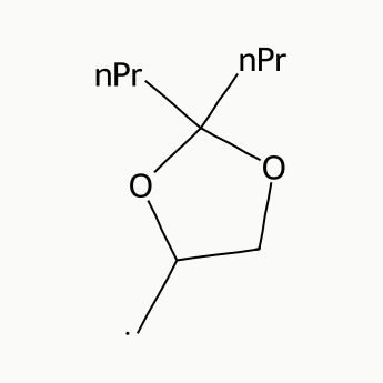 [CH2]C1COC(CCC)(CCC)O1